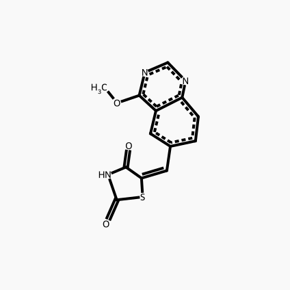 COc1ncnc2ccc(C=C3SC(=O)NC3=O)cc12